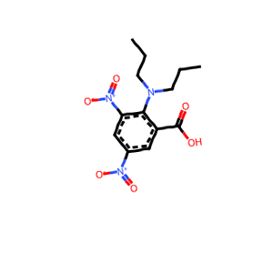 CCCN(CCC)c1c(C(=O)O)cc([N+](=O)[O-])cc1[N+](=O)[O-]